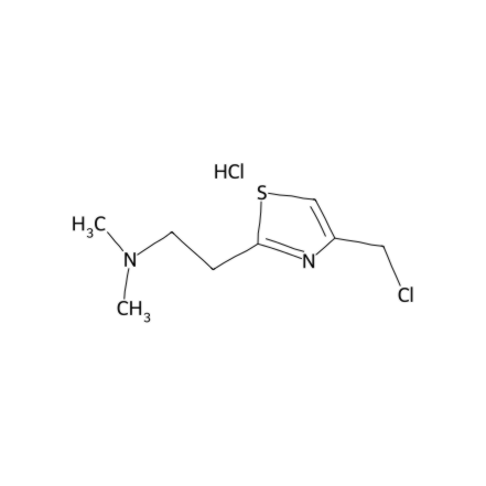 CN(C)CCc1nc(CCl)cs1.Cl